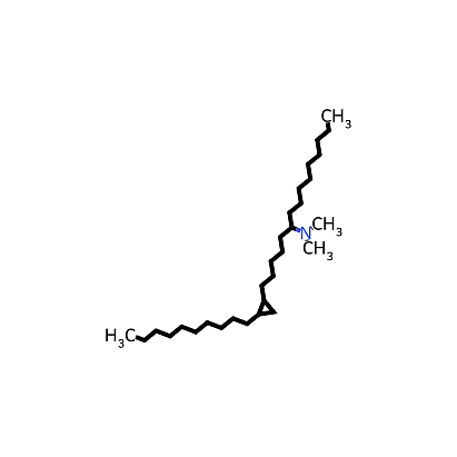 CCCCCCCCCCC1CC1CCCCCC(CCCCCCCCC)N(C)C